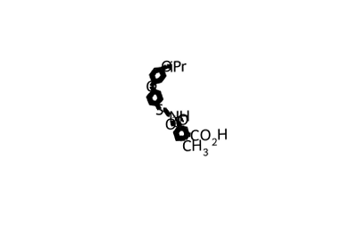 Cc1ccc(S(=O)(=O)NCCSc2ccc(Oc3ccc(OC(C)C)cc3)cc2)cc1C(=O)O